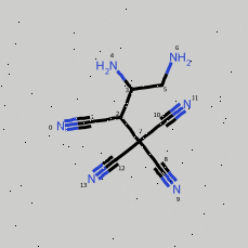 N#CC(C(N)CN)C(C#N)(C#N)C#N